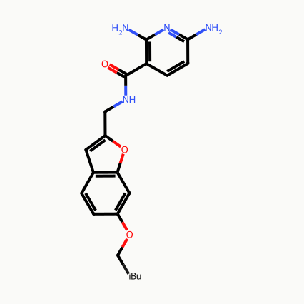 CCC(C)COc1ccc2cc(CNC(=O)c3ccc(N)nc3N)oc2c1